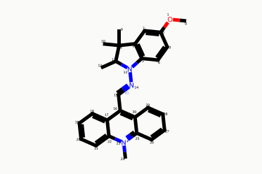 COc1ccc2c(c1)C(C)(C)C(C)N2/N=C/c1c2ccccc2[n+](C)c2ccccc12